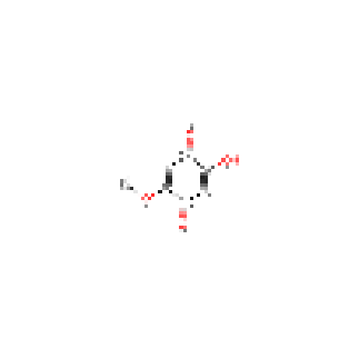 CCOC1=CC(=O)C(O)=CC1=O